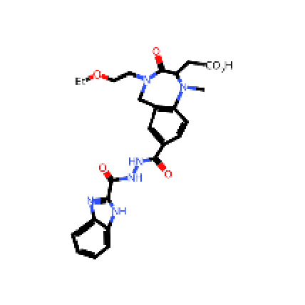 CCOCCN1Cc2cc(C(=O)NNC(=O)c3nc4ccccc4[nH]3)ccc2N(C)C(CC(=O)O)C1=O